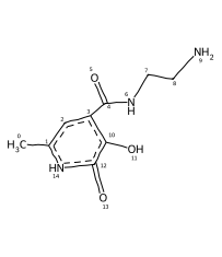 Cc1cc(C(=O)NCCN)c(O)c(=O)[nH]1